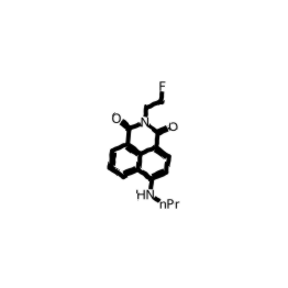 CCCNc1ccc2c3c(cccc13)C(=O)N(CCF)C2=O